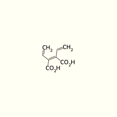 C=C/C(C(=O)O)=C(\C=C)C(=O)O